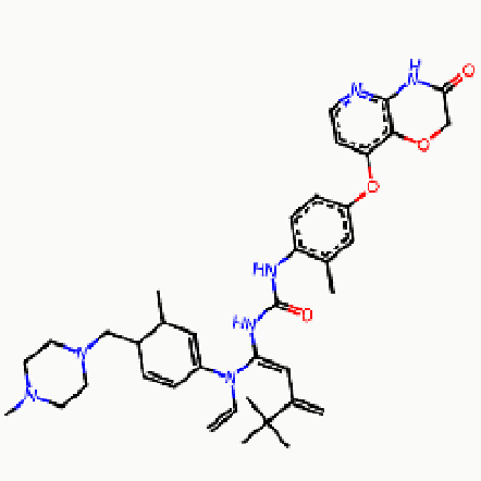 C=CN(C1=CC(C)C(CN2CCN(C)CC2)C=C1)/C(=C\C(=C)C(C)(C)C)NC(=O)Nc1ccc(Oc2ccnc3c2OCC(=O)N3)cc1C